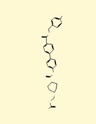 Cl.N=C(N)NC[C@H]1CC[C@H](C(=O)Oc2ccc(-c3ccc(C(=O)OCc4ccc(F)cc4)cc3)cc2)CC1